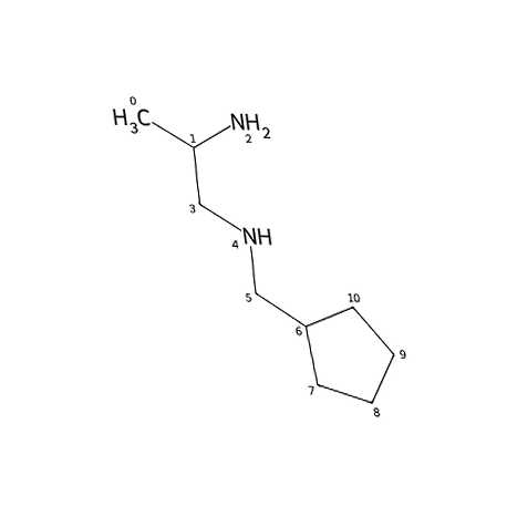 CC(N)CNCC1CCCC1